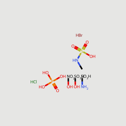 Br.CNS(=O)(=O)O.Cl.NS(=O)(=O)O.O=P(O)(O)O.O=S(=O)(O)O.O=[N+]([O-])O